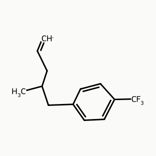 [CH]=CCC(C)Cc1ccc(C(F)(F)F)cc1